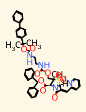 CC(C)(OC(=O)NCCNC(=O)OC[C@@]1(C)[C@H](C(=O)OC(c2ccccc2)c2ccccc2)N2C(=O)/C(=C/c3ccccn3)[C@H]2S1(=O)=O)c1ccc(-c2ccccc2)cc1